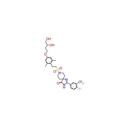 Cc1cc(OCCC(O)CO)cc(C)c1CCS(=O)(=O)N1CCC2(CC1)N=C(c1ccc(F)c(C(F)(F)F)c1)NC2=O